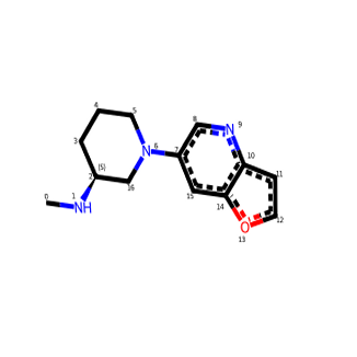 CN[C@H]1CCCN(c2cnc3ccoc3c2)C1